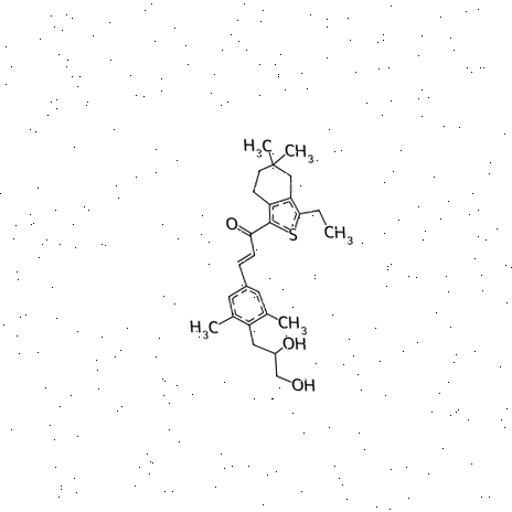 CCc1sc(C(=O)C=Cc2cc(C)c(CC(O)CO)c(C)c2)c2c1CC(C)(C)CC2